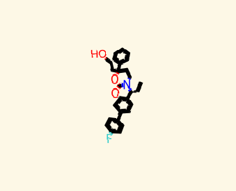 CC[C@@H](c1ccc(-c2ccc(F)cc2)cc1)N1CCC(CCCO)(c2ccccc2)OC1=O